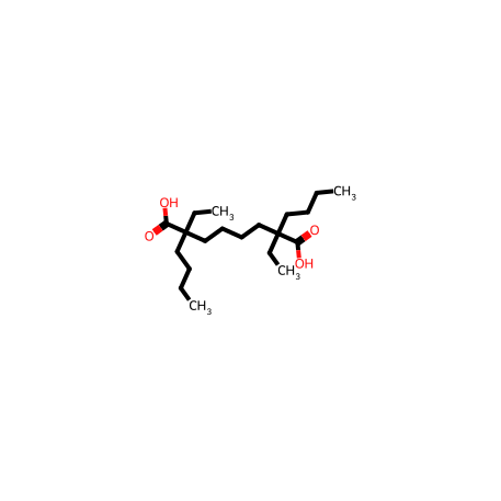 CCCCC(CC)(CCCCC(CC)(CCCC)C(=O)O)C(=O)O